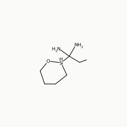 CCC(N)(N)[SiH]1CCCCO1